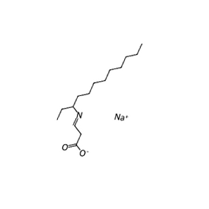 CCCCCCCCCC(CC)N=CCC(=O)[O-].[Na+]